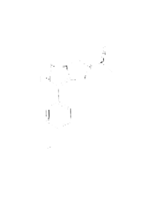 COc1ccc(-c2[nH]nc3c2CN(C(C)=O)C3)cc1